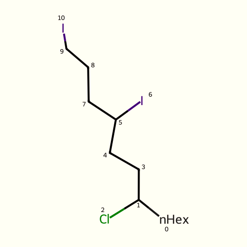 CCCCCCC(Cl)CCC(I)CCCI